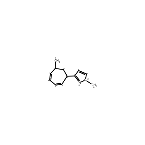 CC1C=CC=CC(c2ccn(C)n2)C1